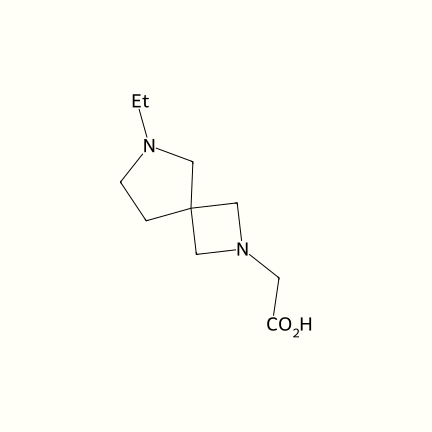 CCN1CCC2(C1)CN(CC(=O)O)C2